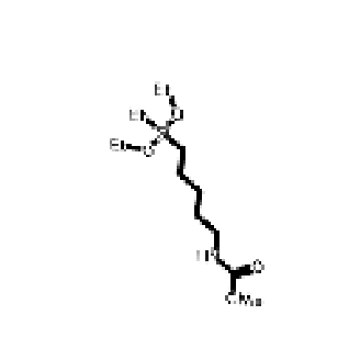 CCO[Si](CC)(CCCCCNC(=O)OC)OCC